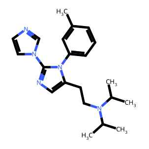 Cc1cccc(-n2c(CCN(C(C)C)C(C)C)cnc2-n2ccnc2)c1